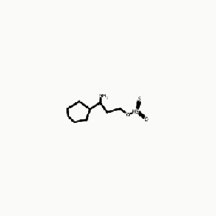 NC(CCO[SH](=O)=S)C1CCCCC1